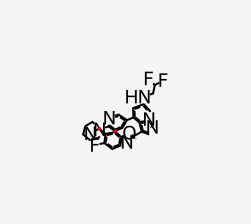 COc1ccc(F)c(CN2C3CC2CN(c2ccc(-c4cc(NCC(F)F)cn5ncc(C#N)c45)cn2)C3)c1